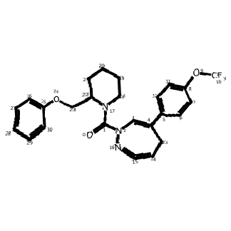 O=C(N1C=C(c2ccc(OC(F)(F)F)cc2)CC=C=N1)N1CCCCC1COc1ccccc1